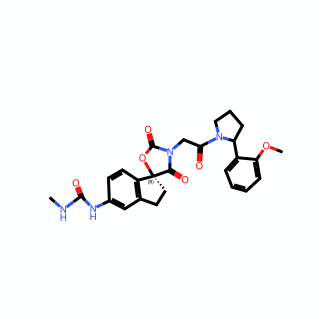 CNC(=O)Nc1ccc2c(c1)CC[C@@]21OC(=O)N(CC(=O)N2CCCC2c2ccccc2OC)C1=O